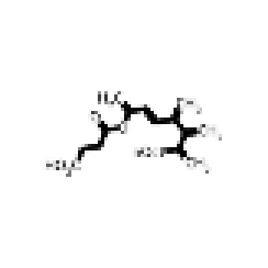 C=C(C=CC(=C)C(=C)C(=C)CCCCCCCC)OC(=O)CCC(=O)O